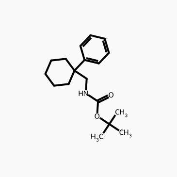 CC(C)(C)OC(=O)NCC1(c2cc[c]cc2)CCCCC1